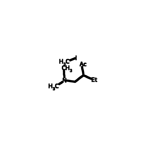 CCC(CN(C)C)C(C)=O.CI